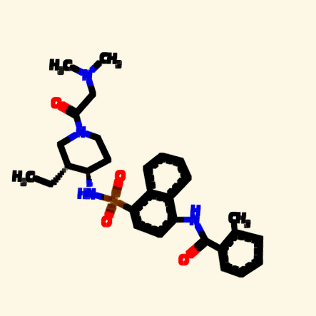 CC[C@@H]1CN(C(=O)CN(C)C)CC[C@@H]1NS(=O)(=O)c1ccc(NC(=O)c2ccccc2C)c2ccccc12